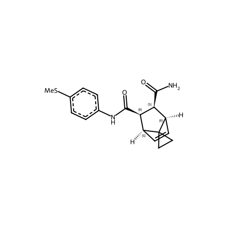 CSc1ccc(NC(=O)[C@H]2[C@@H](C(N)=O)[C@H]3C=C[C@@H]2C32CC2)cc1